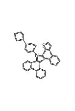 c1ccc(-c2ccc(-n3c4c5ccccc5c5ccccc5c4c4c5ccccc5c5ccsc5c43)cc2)cc1